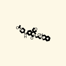 CC(=O)N1CCC(Nc2ccc3c(c2)C(=O)N(C[C@H](O)CN2CCc4ccccc4C2)CC32CCOC2)CC1